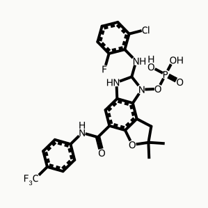 CC1(C)Cc2c(c(C(=O)Nc3ccc(C(F)(F)F)cc3)cc3c2N(OP(=O)(O)O)C(Nc2c(F)cccc2Cl)N3)O1